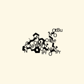 CC[C@H](C)[C@@H]([C@@H](CC(=O)N1CCC[C@H]1[C@H](OC)[C@@H](C)C(=O)N[C@@H](Cc1ccccc1)c1nccs1)OC)N(C)C(=O)[C@@H](NC(=O)[C@H](C(C)C)N(C)CCOCCN(C)C(=O)OC(C)(C)C)C(C)C